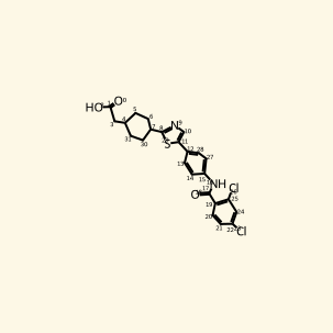 O=C(O)CC1CCC(c2ncc(-c3ccc(NC(=O)c4ccc(Cl)cc4Cl)cc3)s2)CC1